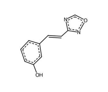 Oc1cccc(C=Cc2ncon2)c1